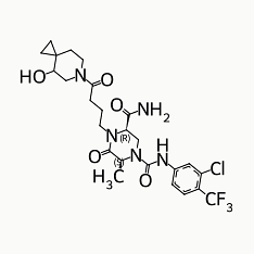 C[C@H]1C(=O)N(CCCC(=O)N2CCC3(CC3)C(O)C2)[C@@H](C(N)=O)CN1C(=O)Nc1ccc(C(F)(F)F)c(Cl)c1